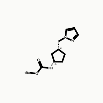 CC(C)(C)OC(=O)N[C@H]1CC[C@@H](Cn2cccn2)C1